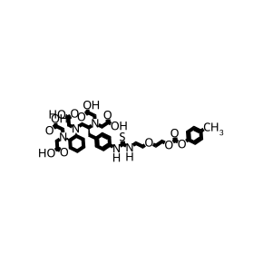 Cc1ccc(OC(=O)OCCOCCNC(=S)Nc2ccc(C[C@@H](CN(CC(=O)O)[C@@H]3CCCC[C@H]3N(CC(=O)O)CC(=O)O)N(CC(=O)O)CC(=O)O)cc2)cc1